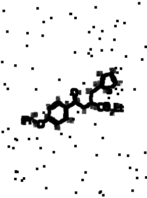 CCOC(=O)C(CC(=O)c1ccc(OC(C)C)cc1)Cc1cccs1